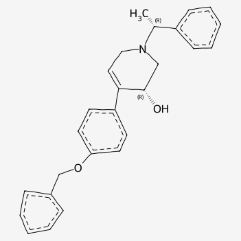 C[C@H](c1ccccc1)N1CC=C(c2ccc(OCc3ccccc3)cc2)[C@@H](O)C1